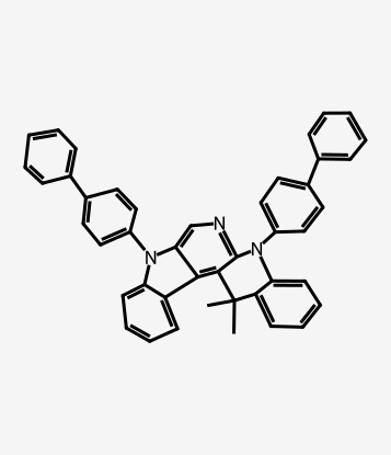 CC1(C)c2ccccc2N(c2ccc(-c3ccccc3)cc2)c2ncc3c(c21)c1ccccc1n3-c1ccc(-c2ccccc2)cc1